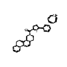 C1=CC=CNC=C1.O=C(c1ccc(-c2ccccc2)s1)C1C=c2c(ccc3c2=CCc2ccccc2-3)CC1